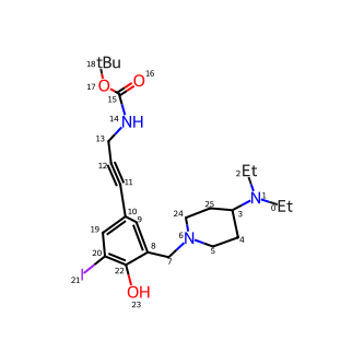 CCN(CC)C1CCN(Cc2cc(C#CCNC(=O)OC(C)(C)C)cc(I)c2O)CC1